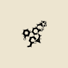 C=C(/C=C\C(Cl)=C/C)[C@@H]1[C@@H](c2cccc(Cl)c2)C[C@@H](Cc2nnn[nH]2)C(=O)N1CC1CC1